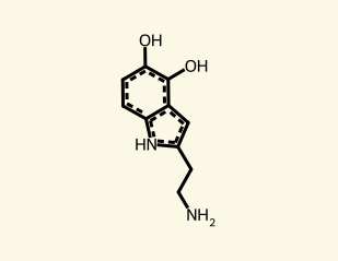 NCCc1cc2c(O)c(O)ccc2[nH]1